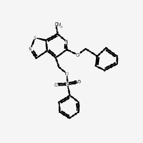 Cc1nc(OCc2ccccc2)c(COS(=O)(=O)c2ccccc2)c2cnsc12